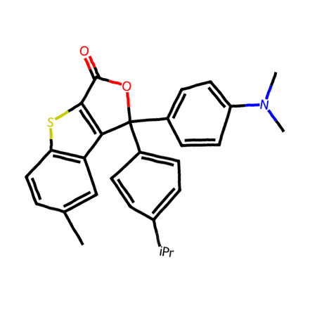 Cc1ccc2sc3c(c2c1)C(c1ccc(C(C)C)cc1)(c1ccc(N(C)C)cc1)OC3=O